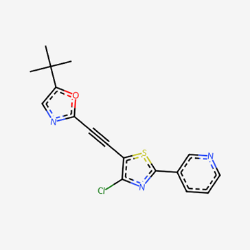 CC(C)(C)c1cnc(C#Cc2sc(-c3cccnc3)nc2Cl)o1